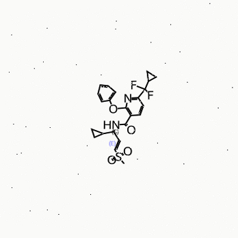 CS(=O)(=O)/C=C/[C@@H](NC(=O)c1ccc(C(F)(F)C2CC2)nc1Oc1ccccc1)C1CC1